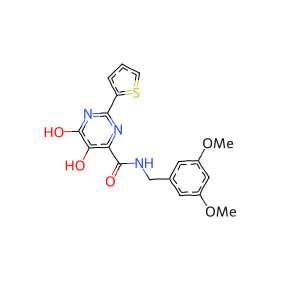 COc1cc(CNC(=O)c2nc(-c3cccs3)nc(O)c2O)cc(OC)c1